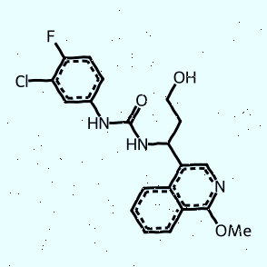 COc1ncc(C(CCO)NC(=O)Nc2ccc(F)c(Cl)c2)c2ccccc12